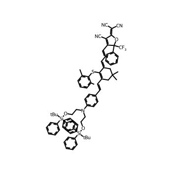 Cc1cccc(C)c1SC1=C(/C=C/c2ccc(N(CCO[Si](c3ccccc3)(c3ccccc3)C(C)(C)C)CCO[Si](c3ccccc3)(c3ccccc3)C(C)(C)C)cc2)CC(C)(C)C/C1=C\C=C\C1=C(C#N)C(=C(C#N)C#N)OC1(c1ccccc1)C(F)(F)F